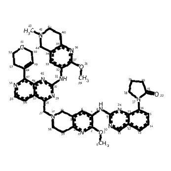 COc1nc2c(cc1Nc1ncc3cccc(N4CCCC4=O)c3n1)CN(Cc1nc(Nc3cc4c(nc3OC)CCN(C)C4)nc3c(C4=CCOCC4)nccc13)CC2